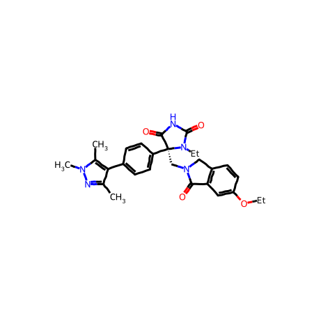 CCOc1ccc2c(c1)C(=O)N(C[C@]1(c3ccc(-c4c(C)nn(C)c4C)cc3)C(=O)NC(=O)N1CC)C2